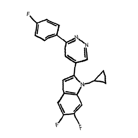 Fc1ccc(-c2cc(-c3cc4cc(F)c(F)cc4n3C3CC3)cnn2)cc1